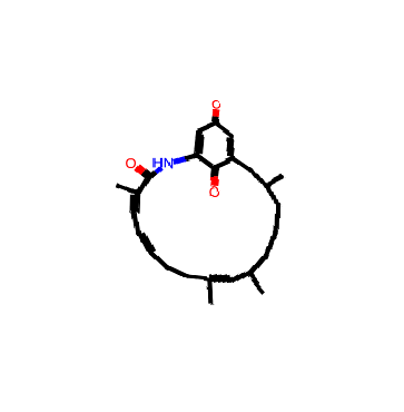 CC1=CC(C)CCCC(C)CC2=CC(=O)C=C(NC(=O)C(C)=CC=CCC1)C2=O